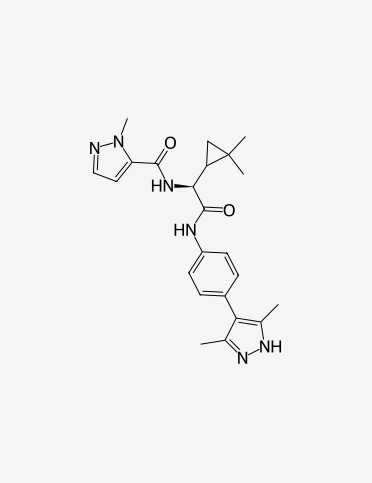 Cc1n[nH]c(C)c1-c1ccc(NC(=O)[C@@H](NC(=O)c2ccnn2C)C2CC2(C)C)cc1